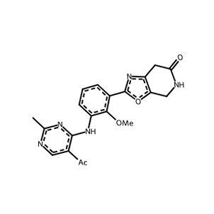 COc1c(Nc2nc(C)ncc2C(C)=O)cccc1-c1nc2c(o1)CNC(=O)C2